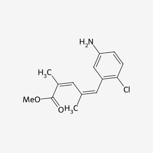 COC(=O)C(C)=CC(C)=Cc1cc(N)ccc1Cl